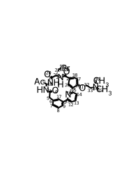 CC(=O)C(NC(=O)Cc1cccc(-c2ccccn2)c1)NC(=O)[C@H](CC(C)C)NC(=O)c1ccc(OCCN(C)C)cc1